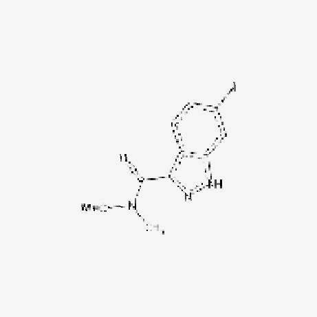 CON(C)C(=O)c1n[nH]c2cc(I)ccc12